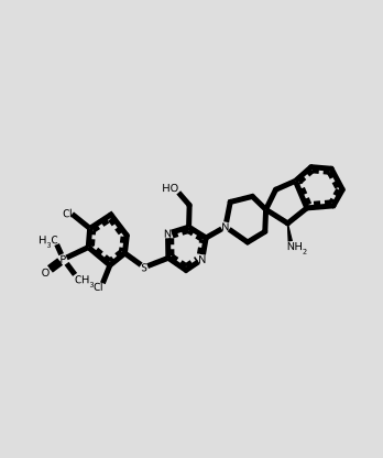 CP(C)(=O)c1c(Cl)ccc(Sc2cnc(N3CCC4(CC3)Cc3ccccc3[C@H]4N)c(CO)n2)c1Cl